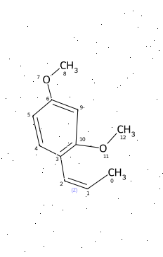 C/C=C\c1ccc(OC)cc1OC